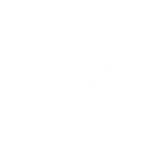 CCCCCCc1cc(-c2sc(-c3cc(CCCCCC)c(-c4c(OC)cccc4OC(C)C)s3)c(C)c2C)sc1-c1c(OC)cccc1OC(C)C